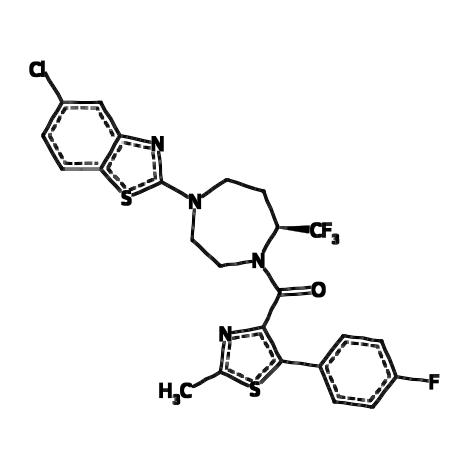 Cc1nc(C(=O)N2CCN(c3nc4cc(Cl)ccc4s3)CC[C@H]2C(F)(F)F)c(-c2ccc(F)cc2)s1